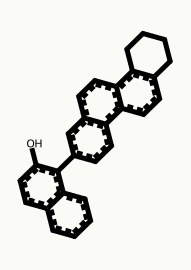 Oc1ccc2ccccc2c1-c1ccc2c(ccc3c4c(ccc32)CCCC4)c1